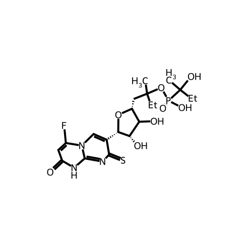 CCC(C)(C[C@H]1O[C@@H](c2cn3c(F)cc(=O)[nH]c3nc2=S)[C@@H](O)C1O)OP(=O)(O)C(C)(O)CC